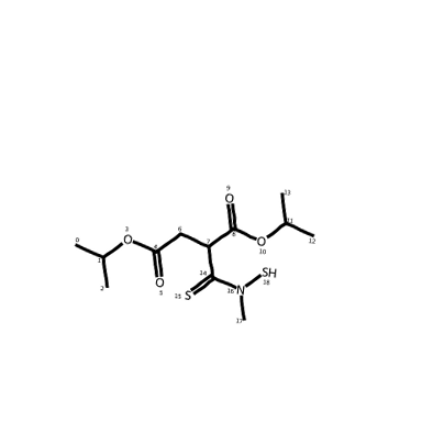 CC(C)OC(=O)CC(C(=O)OC(C)C)C(=S)N(C)S